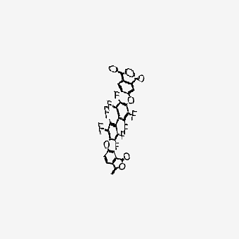 C=C1OC(=O)c2cc(Oc3c(F)c(F)c(-c4c(F)c(F)c(Oc5ccc6c(c5)C(=O)OC6=O)c(F)c4F)c(F)c3F)ccc21